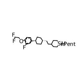 CCCCC[SiH]1CCC(CC[C@H]2CC[C@H](c3ccc(OCC(F)F)c(F)c3)CC2)CC1